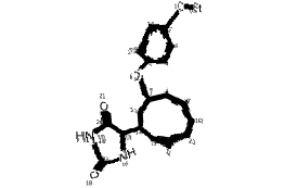 CCOc1ccc(SC2CCCCCCC(C3NC(=O)NC3=O)C2)cc1